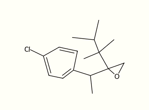 CC(C)C(C)(C)C1(C(C)c2ccc(Cl)cc2)CO1